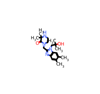 Cc1cc2nc(CN3CCNC(C)(C)C3=O)n(CC(C)(C)O)c2cc1C